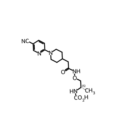 C[C@@H](CONC(=O)CC1CCN(c2ccc(C#N)cn2)CC1)NC(=O)O